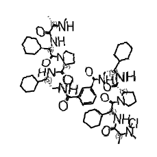 CN[C@@H](C)C(=O)N[C@H](C(=O)N1CCC[C@H]1C(=O)N[C@H](CNC(=O)c1cccc(C(=O)NC[C@@H](NC(=O)[C@@H]2CCCN2C(=O)[C@@H](NC(=O)[C@H](C)N(C)Cl)C2CCCCC2)C2CCCCC2)c1)C1CCCCC1)C1CCCCC1